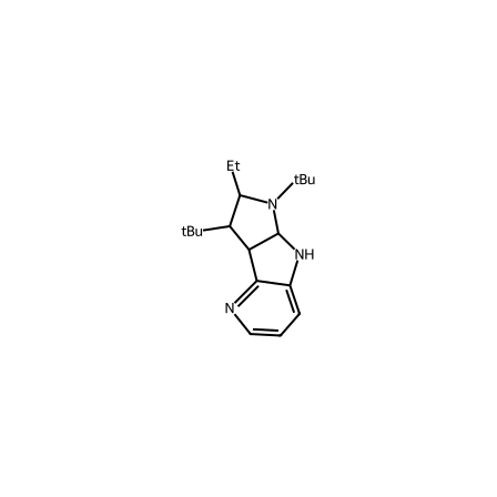 CCC1C(C(C)(C)C)C2c3ncccc3NC2N1C(C)(C)C